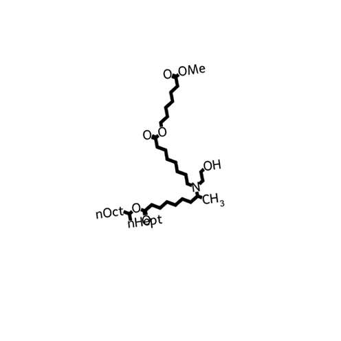 CCCCCCCCC(CCCCCCC)OC(=O)CCCCCCC(C)N(CCO)CCCCCCCC(=O)OCCCCCCC(=O)OC